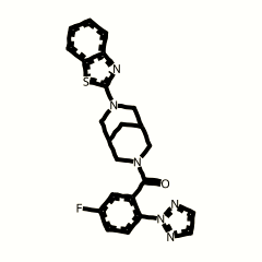 O=C(c1cc(F)ccc1-n1nccn1)N1CC2CC(C1)CN(c1nc3ccccc3s1)C2